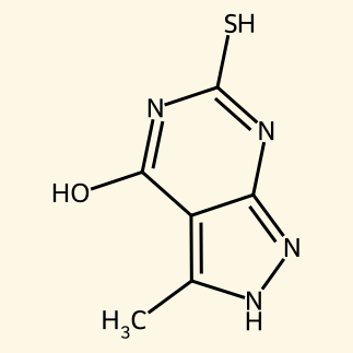 Cc1[nH]nc2nc(S)nc(O)c12